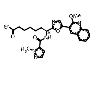 CCC(=O)CCCCC[C@H](NC(=O)c1ccnn1C)c1ncc(-c2cc3ccccc3nc2OC)o1